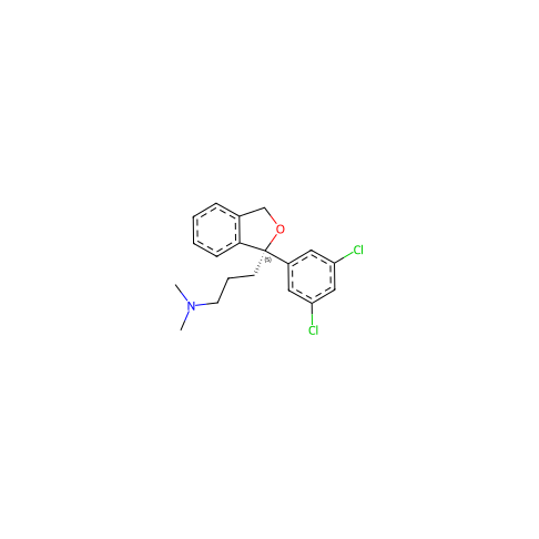 CN(C)CCC[C@@]1(c2cc(Cl)cc(Cl)c2)OCc2ccccc21